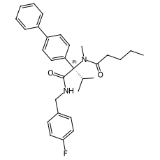 CCCCC(=O)N(C)[C@@](C(=O)NCc1ccc(F)cc1)(c1ccc(-c2ccccc2)cc1)C(C)C